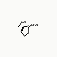 CC(=O)N[C@@H]1C=CCC1.COC(C)=O